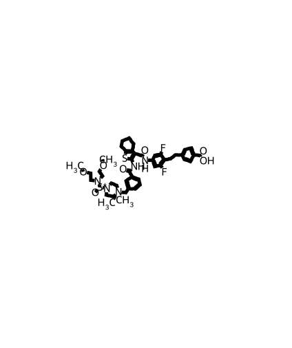 COCCN(CCOC)[S+]([O-])N1CCN(Cc2cccc(C(=O)Nc3sc4c(c3C(=O)Nc3cc(F)c(CCc5ccc(C(=O)O)cc5)c(F)c3)CCCC4)c2)C(C)(C)C1